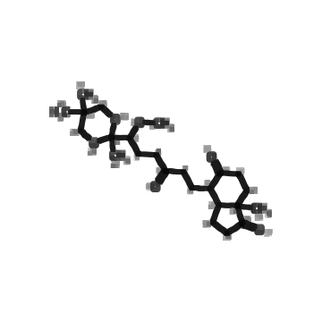 COC(CCC(=O)CCC1C(=O)CCC2(C)C(=O)CCC12)C1(C)OCC(C)(C)CO1